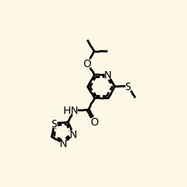 CSc1cc(C(=O)Nc2nncs2)cc(OC(C)C)n1